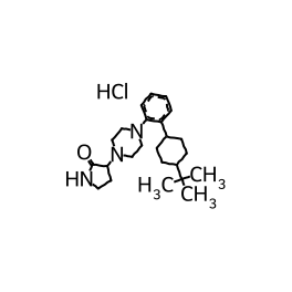 CC(C)(C)C1CCC(c2ccccc2N2CCN(C3CCNC3=O)CC2)CC1.Cl